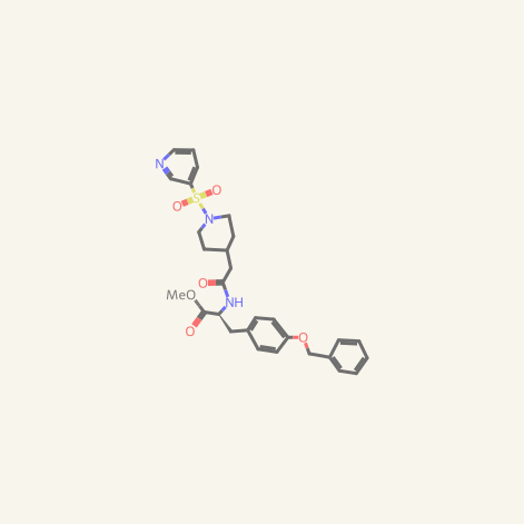 COC(=O)[C@H](Cc1ccc(OCc2ccccc2)cc1)NC(=O)CC1CCN(S(=O)(=O)c2cccnc2)CC1